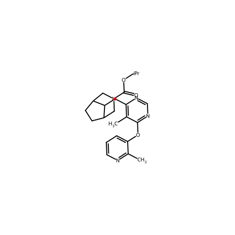 Cc1ncccc1Oc1ncnc(CC2C3CCC2CN(C(=O)OC(C)C)C3)c1C